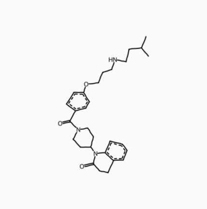 CC(C)CCNCCCOc1ccc(C(=O)N2CCC(N3C(=O)CCc4ccccc43)CC2)cc1